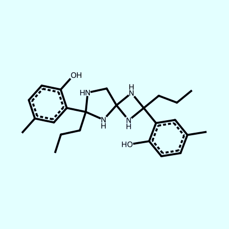 CCCC1(c2cc(C)ccc2O)NCC2(N1)NC(CCC)(c1cc(C)ccc1O)N2